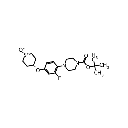 CC(C)(C)OC(=O)N1CCN(c2ccc(O[C@H]3CC[S@@+]([O-])CC3)cc2F)CC1